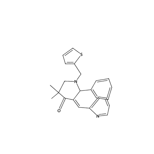 CC1(C)CN(Cc2cccs2)C(c2ccccc2)/C(=C\c2ccccn2)C1=O